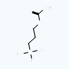 COC(=O)OCCC[Si](C)(C)F